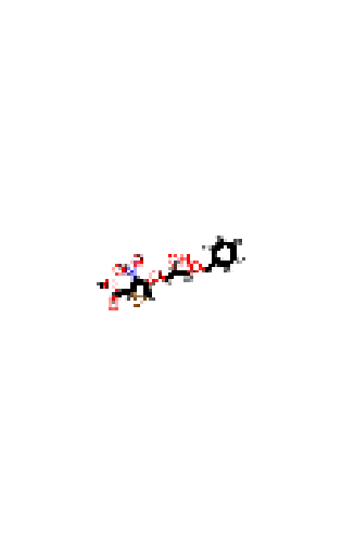 COC(=O)c1scc(OCC(O)COCc2ccccc2)c1[N+](=O)[O-]